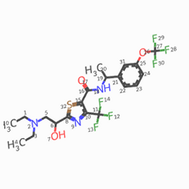 CCN(CC)CC(O)c1nc(C(F)(F)F)c(C(=O)NC(C)c2cccc(OC(F)(F)F)c2)s1